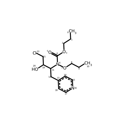 CCCOC(=O)N(OCCC)C(Cc1ccncc1)C(O)CCl